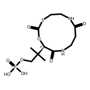 CC(C)(COP(=O)(O)O)[C@H]1OC(=O)SCCNC(=O)CCNC1=O